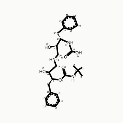 CC(C)(C)NC(=O)O[C@@H](Cc1ccccc1)C(O)CNC[C@@H](O)[C@H](Cc1ccccc1)NC(=O)O